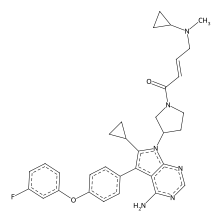 CN(CC=CC(=O)N1CCC(n2c(C3CC3)c(-c3ccc(Oc4cccc(F)c4)cc3)c3c(N)ncnc32)C1)C1CC1